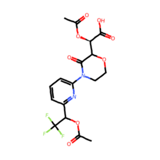 CC(=O)OC(c1cccc(N2CCOC([C@@H](OC(C)=O)C(=O)O)C2=O)n1)C(F)(F)F